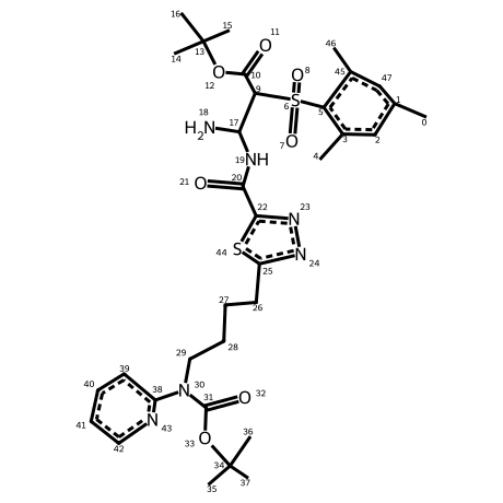 Cc1cc(C)c(S(=O)(=O)C(C(=O)OC(C)(C)C)C(N)NC(=O)c2nnc(CCCCN(C(=O)OC(C)(C)C)c3ccccn3)s2)c(C)c1